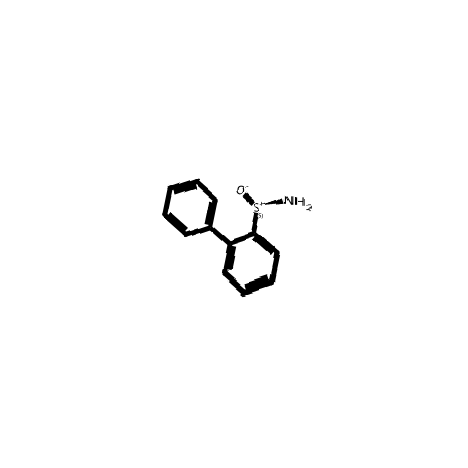 N[S@+]([O-])c1ccccc1-c1ccccc1